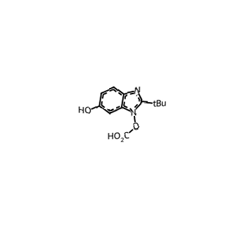 CC(C)(C)c1nc2ccc(O)cc2n1OC(=O)O